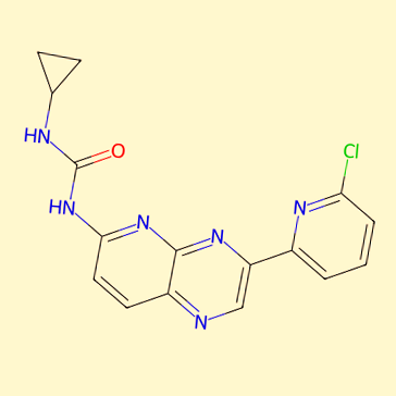 O=C(Nc1ccc2ncc(-c3cccc(Cl)n3)nc2n1)NC1CC1